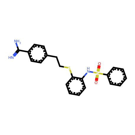 N=C(N)c1ccc(CCSc2ccccc2NS(=O)(=O)c2ccccc2)cc1